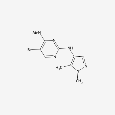 CNc1nc(Nc2cnn(C)c2C)ncc1Br